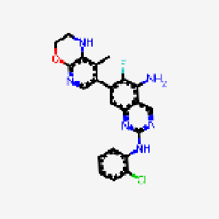 Cc1c(-c2cc3nc(Nc4ccccc4Cl)ncc3c(N)c2F)cnc2c1NCCO2